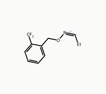 CC/[C]=N\OCc1ccccc1C(F)(F)F